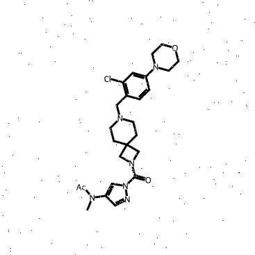 CC(=O)N(C)c1cnn(C(=O)N2CC3(CCN(Cc4ccc(N5CCOCC5)cc4Cl)CC3)C2)c1